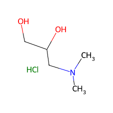 CN(C)CC(O)CO.Cl